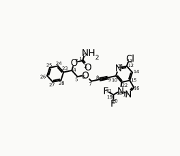 NC(=O)OC(COCC#Cc1nc(Cl)cc2cnn(C(F)F)c12)c1ccccc1